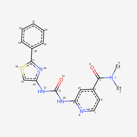 CCN(CC)C(=O)c1ccnc(NC(=O)Nc2csc(-c3ccccc3)n2)c1